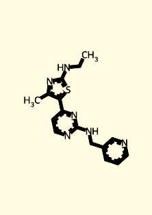 CCNc1nc(C)c(-c2ccnc(NCc3cccnc3)n2)s1